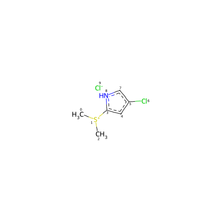 C[S+](C)c1cc(Cl)c[nH]1.[Cl-]